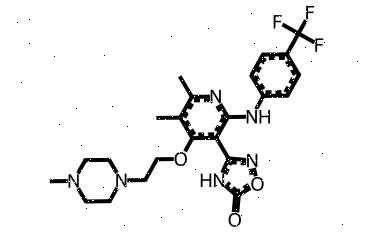 Cc1nc(Nc2ccc(C(F)(F)F)cc2)c(-c2noc(=O)[nH]2)c(OCCN2CCN(C)CC2)c1C